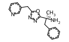 C[C@](N)(Cc1ccccc1)c1nnc(Cc2cccnc2)o1